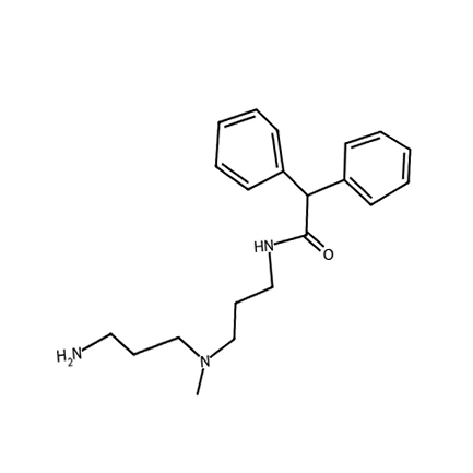 CN(CCCN)CCCNC(=O)C(c1ccccc1)c1ccccc1